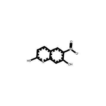 O=[N+]([O-])c1cc2ccc(S)nc2cc1O